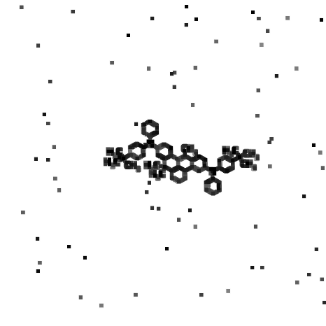 Cc1c2c3c(cccc3c3cc(N(c4ccccc4)c4ccc(C(C)(C)C)cc4)ccc13)C(C)(C)c1cc(N(c3ccccc3)c3ccc(C(C)(C)C)cc3)ccc1-2